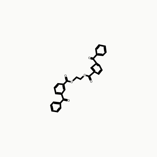 O=C(OCCOC(=O)c1cccc(C(=O)c2ccccc2)c1)c1cccc(C(=O)c2ccccc2)c1